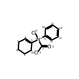 O=C(Cl)[N+](Cl)(C1=CCCCC1)c1ccccc1